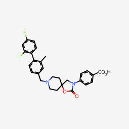 Cc1cc(CN2CCC3(CC2)CN(c2ccc(C(=O)O)cc2)C(=O)O3)ccc1-c1ccc(F)cc1F